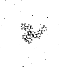 c1ccc(-c2ccc3c(ccc4ccc(-c5nc(-c6cccc7c6sc6ccccc67)nc(-c6cccc7oc8ccccc8c67)n5)cc43)c2)cc1